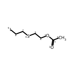 CC(=O)OCCSCCI